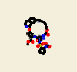 COC(=O)[C@@H]1C[C@@H]2CN1C(=O)[C@H](CNS(=O)(=O)c1ccccc1[N+](=O)[O-])NC(=O)OCCC/C=C/c1ccc3ccnc(c3c1)O2